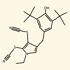 CCn1cc(Cc2cc(C(C)(C)C)c(O)c(C(C)(C)C)c2)c(SC#N)c1SC#N